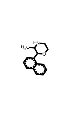 CC1NCCOC1c1cccc2ccccc12